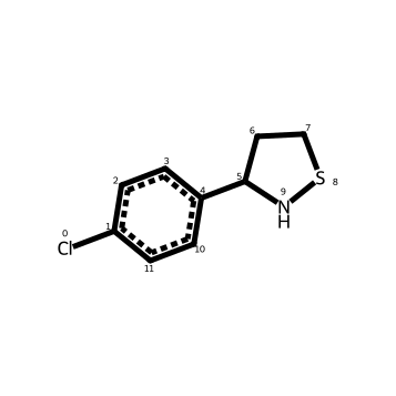 Clc1ccc(C2CCSN2)cc1